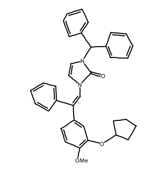 COc1ccc(/C(=C/n2ccn(C(c3ccccc3)c3ccccc3)c2=O)c2ccccc2)cc1OC1CCCC1